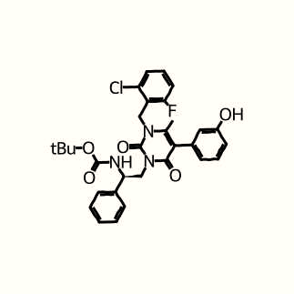 Cc1c(-c2cccc(O)c2)c(=O)n(C[C@H](NC(=O)OC(C)(C)C)c2ccccc2)c(=O)n1Cc1c(F)cccc1Cl